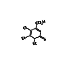 CCC1=C(Cl)C(C(=O)O)=CC(=S)C1CC